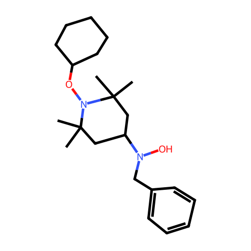 CC1(C)CC(N(O)Cc2ccccc2)CC(C)(C)N1OC1CCCCC1